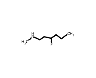 CCCC(F)CCNC